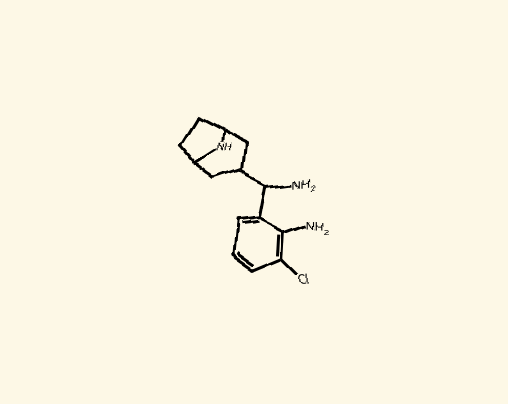 Nc1c(Cl)cccc1C(N)C1CC2CCC(C1)N2